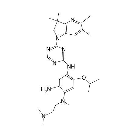 Cc1cc2c(nc1C)C(C)(C)CN2c1ncnc(Nc2cc(N)c(N(C)CCN(C)C)cc2OC(C)C)n1